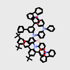 CC(C)(C)c1cc(-c2cc3c4c(c2)N(c2c(-c5ccccc5)cc(C(C)(C)C)cc2-c2ccccc2)c2cc(-n5c6ccccc6c6ccccc65)ccc2B4c2ccc(N(c4ccccc4)c4ccc(-n5c6ccccc6c6ccccc65)cc4)cc2N3c2cc(-c3ccccc3)cc(-c3ccccc3)c2)cc(C(C)(C)C)c1